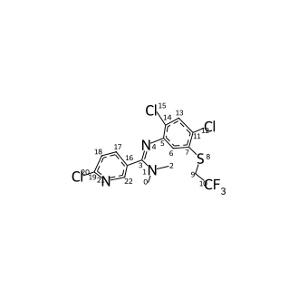 CN(C)/C(=N\c1cc(SCC(F)(F)F)c(Cl)cc1Cl)c1ccc(Cl)nc1